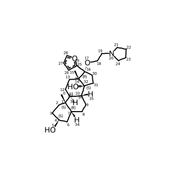 C[C@]12CC[C@H](O)C[C@H]1CC[C@@H]1[C@@H]2CC[C@]2(C)[C@@](OCCN3CCCC3)(c3ccco3)CC[C@]12O